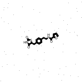 O=C1NC(=O)C(Cc2ccc(CCNC(=O)c3ccco3)cc2)S1